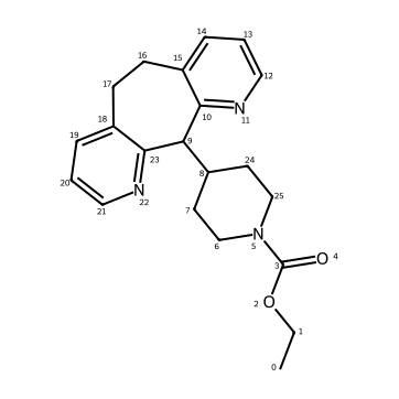 CCOC(=O)N1CCC(C2c3ncccc3CCc3cccnc32)CC1